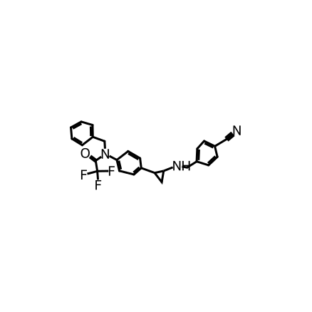 N#Cc1ccc(CNC2CC2c2ccc(N(Cc3ccccc3)C(=O)C(F)(F)F)cc2)cc1